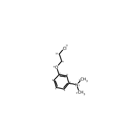 CN(C)c1cccc(OCCCl)c1